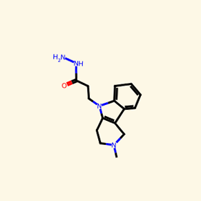 CN1CCc2c(c3ccccc3n2CCC(=O)NN)C1